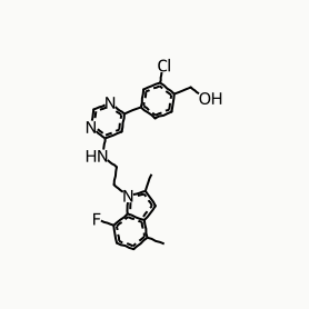 Cc1ccc(F)c2c1cc(C)n2CCNc1cc(-c2ccc(CO)c(Cl)c2)ncn1